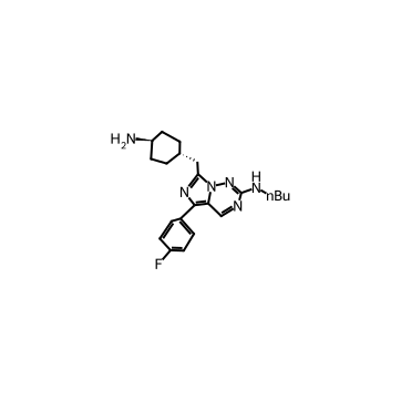 CCCCNc1ncc2c(-c3ccc(F)cc3)nc(C[C@H]3CC[C@H](N)CC3)n2n1